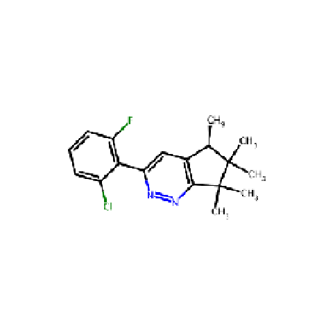 C[C@@H]1c2cc(-c3c(F)cccc3Cl)nnc2C(C)(C)C1(C)C